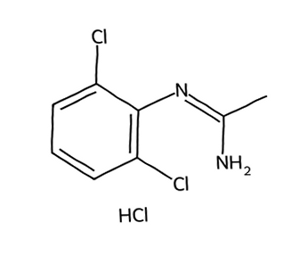 CC(N)=Nc1c(Cl)cccc1Cl.Cl